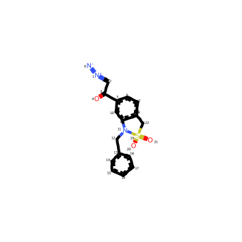 [N-]=[N+]=CC(=O)c1ccc2c(c1)N(Cc1ccccc1)S(=O)(=O)C2